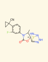 CC1N(c2ccc(C3(C#N)CC3)c(F)c2)C(=O)O[C@@]12NN1NN=C2S1